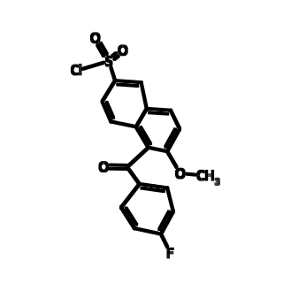 COc1ccc2cc(S(=O)(=O)Cl)ccc2c1C(=O)c1ccc(F)cc1